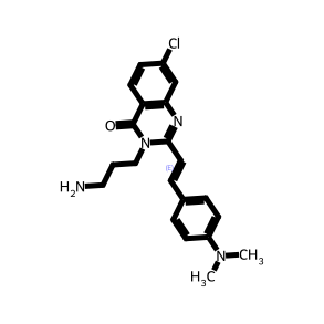 CN(C)c1ccc(/C=C/c2nc3cc(Cl)ccc3c(=O)n2CCCN)cc1